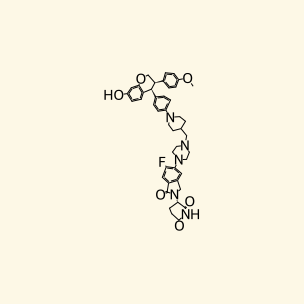 COc1ccc([C@@H]2COc3cc(O)ccc3[C@@H]2c2ccc(N3CCC(CN4CCN(c5cc6c(cc5F)C(=O)N([C@H]5CCC(=O)NC5=O)C6)CC4)CC3)cc2)cc1